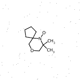 CC1(C)COCC2(CCCC2)N1[O]